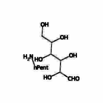 CCCCCN.O=CC(O)C(O)C(O)C(O)CO